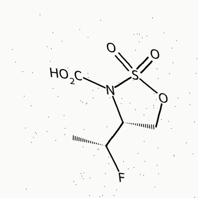 C[C@@H](F)[C@H]1COS(=O)(=O)N1C(=O)O